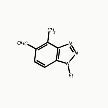 CCn1nnc2c(C)c(C=O)ccc21